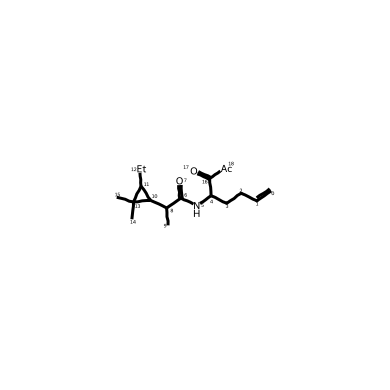 C=CCCC(NC(=O)C(C)C1C(CC)C1(C)C)C(=O)C(C)=O